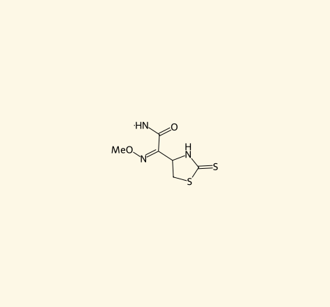 CON=C(C([NH])=O)C1CSC(=S)N1